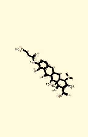 CN(C)C1C(O)=C(C(N)=O)C(=O)C2(O)C(O)=C3C(=O)c4c(ccc(NC(=O)CCC(=O)O)c4O)CC3CC12